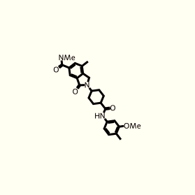 CNC(=O)c1cc(C)c2c(c1)C(=O)N(C1CCC(C(=O)Nc3ccc(C)c(OC)c3)CC1)C2